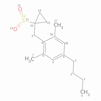 CCCCc1cc(C)c(CC2([SH](=O)=O)CC2)c(C)c1